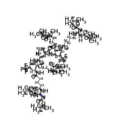 CN(CCCOc1c(NC(=O)CCCCN/C(=N/C(=O)OC(C)(C)C)NC(=O)OC(C)(C)C)cc(C(F)(F)F)cc1NC(=O)c1cc(C(=O)Nc2cc(C(F)(F)F)cc(NC(=O)CCCCN/C(=N\C(=O)OC(C)(C)C)NC(=O)OC(C)(C)C)c2OCCCN(C)C(=O)OC(C)(C)C)ncn1)C(=O)OC(C)(C)C